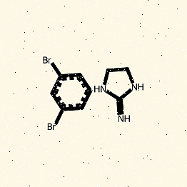 Brc1cccc(Br)c1.N=C1NCCN1